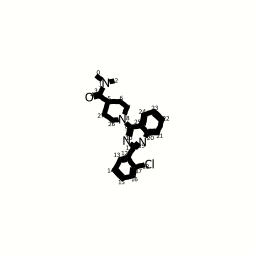 CN(C)C(=O)C1CCN(c2nc(-c3ccccc3Cl)nc3ccccc23)CC1